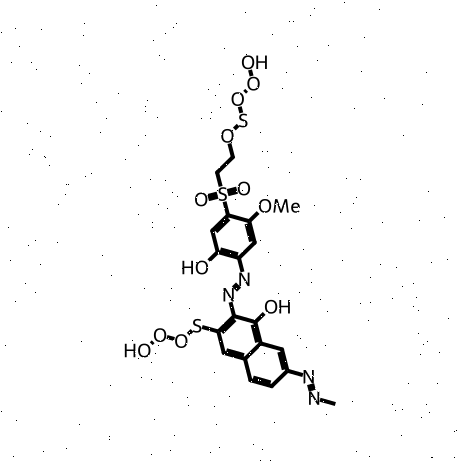 C/N=N/c1ccc2cc(SOOO)c(N=Nc3cc(OC)c(S(=O)(=O)CCOSOOO)cc3O)c(O)c2c1